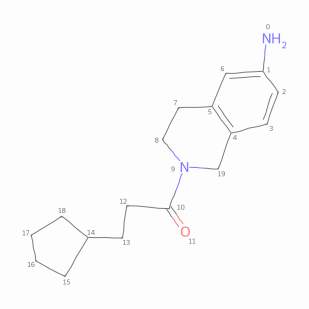 Nc1ccc2c(c1)CCN(C(=O)CCC1CCCC1)C2